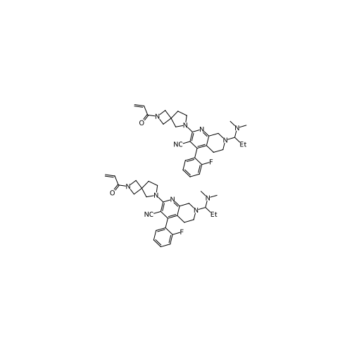 C=CC(=O)N1CC2(CCN(c3nc4c(c(-c5ccccc5F)c3C#N)CCN(C(CC)N(C)C)C4)C2)C1.C=CC(=O)N1CC2(CCN(c3nc4c(c(-c5ccccc5F)c3C#N)CCN(C(CC)N(C)C)C4)C2)C1